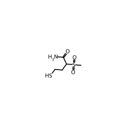 CS(=O)(=O)C(CCS)C(N)=O